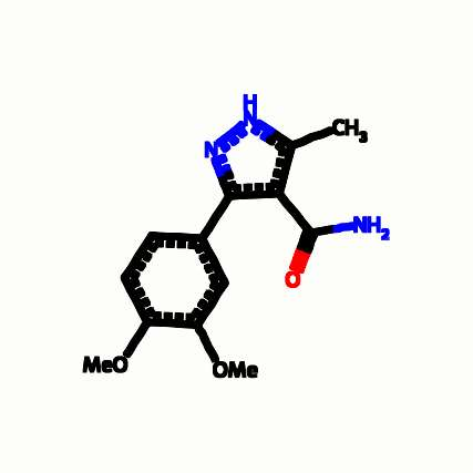 COc1ccc(-c2n[nH]c(C)c2C(N)=O)cc1OC